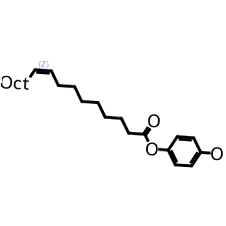 CCCCCCCC/C=C\CCCCCCCC(=O)Oc1ccc(O)cc1